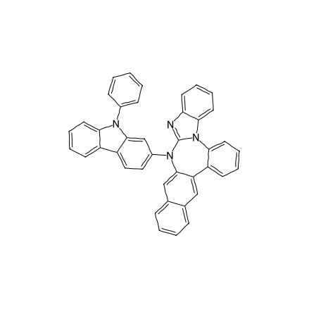 c1ccc(-n2c3ccccc3c3ccc(N4c5cc6ccccc6cc5-c5ccccc5-n5c4nc4ccccc45)cc32)cc1